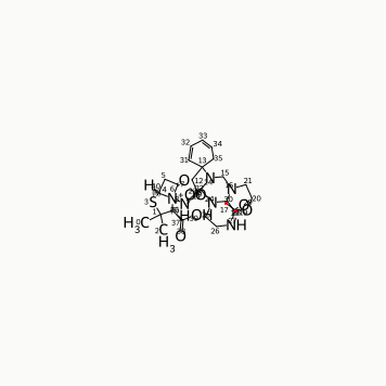 CC1(C)S[C@@H]2CC(=O)[N+]2(NC(=O)CC2(N(CN3CCOCC3)C(=O)N3CCNC(=O)C3)C=CC=CC2)[C@H]1C(=O)O